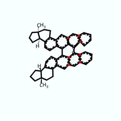 C[C@@]12CCC[C@@H]1c1ccc3c(-c4c(P(c5ccccc5)c5ccccc5)ccc5c6c(ccc45)[C@H]4CCC[C@@]4(C)CC6)c(P(c4ccccc4)c4ccccc4)ccc3c1CC2